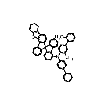 Cc1ccccc1-c1ccc(N(c2ccc(-c3ccccc3)cc2)c2cccc3c2-c2ccccc2C32c3ccccc3-c3c2ccc2c4c(oc32)C=CCC4)c(C)c1